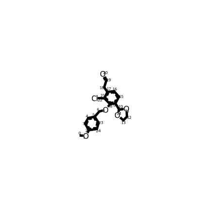 COc1ccc(COc2c(C3OCCO3)ccc(CC=O)c2Cl)cc1